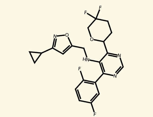 Fc1ccc(F)c(-c2ncnc(C3CCC(F)(F)CO3)c2NCc2cc(C3CC3)no2)c1